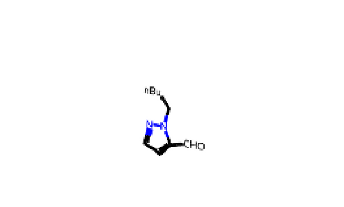 CCCCCn1nccc1C=O